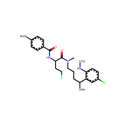 CNc1ccc(C(=O)NC(CCF)C(=O)N(C)CCCC(OC)c2cc(Cl)ccc2NC=O)cc1